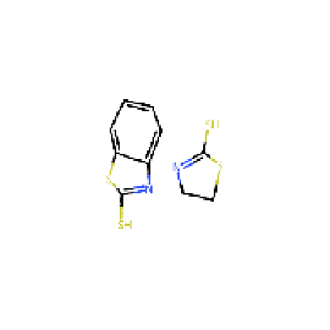 SC1=NCCS1.Sc1nc2ccccc2s1